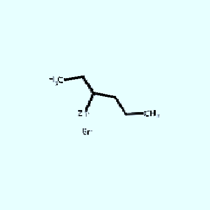 CCC[CH]([Zn+])CC.[Br-]